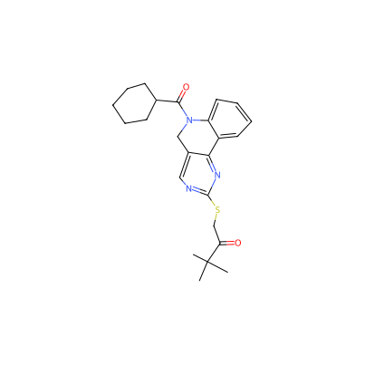 CC(C)(C)C(=O)CSc1ncc2c(n1)-c1ccccc1N(C(=O)C1CCCCC1)C2